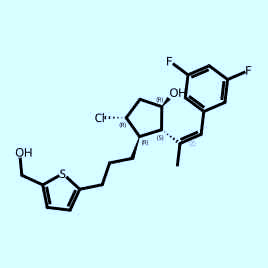 C/C(=C/c1cc(F)cc(F)c1)[C@@H]1[C@@H](CCCc2ccc(CO)s2)[C@H](Cl)C[C@H]1O